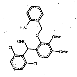 COc1ccc(C(C=O)c2c(Cl)cncc2Cl)c(OCc2ccccc2C)c1OC